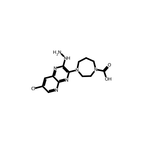 NNc1nc2cc(Cl)cnc2nc1N1CCCN(C(=O)O)CC1